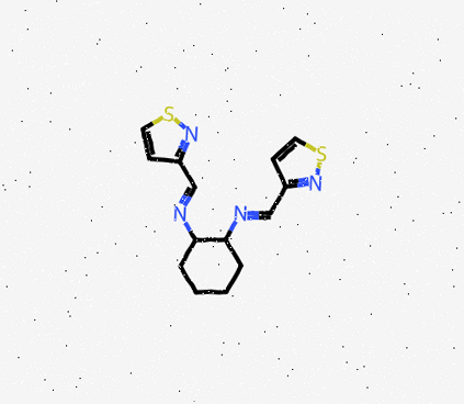 C(=NC1CCCCC1N=Cc1ccsn1)c1ccsn1